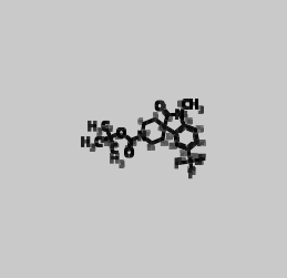 CN1C(=O)C2(CCN(C(=O)OC(C)(C)C)CC2)c2cc(C(F)(F)F)ccc21